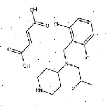 CC(C)CN(Cc1c(Cl)cccc1Cl)C1CCNCC1.O=C(O)C=CC(=O)O